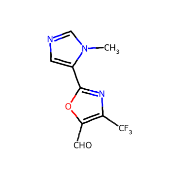 Cn1cncc1-c1nc(C(F)(F)F)c(C=O)o1